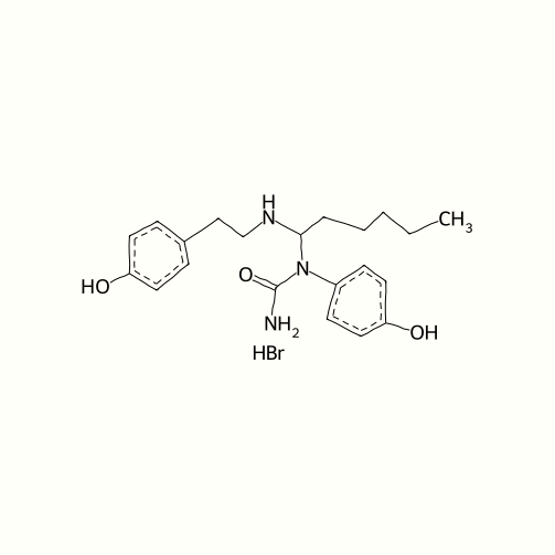 Br.CCCCCC(NCCc1ccc(O)cc1)N(C(N)=O)c1ccc(O)cc1